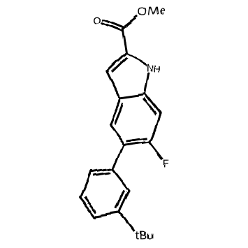 COC(=O)c1cc2cc(-c3cccc(C(C)(C)C)c3)c(F)cc2[nH]1